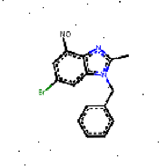 Cc1nc2c(N=O)cc(Br)cc2n1Cc1ccccc1